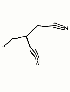 [CH2]CC(C#N)CC#N